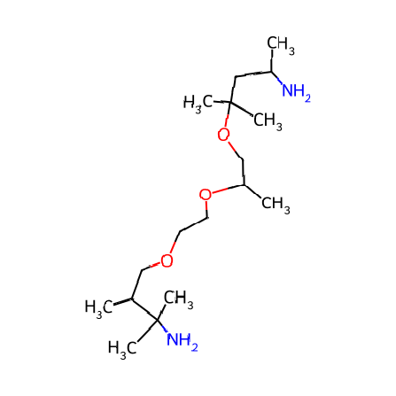 CC(N)CC(C)(C)OCC(C)OCCOCC(C)C(C)(C)N